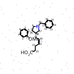 COc1ccccc1[C@@H]1CN(Cc2ccccc2)C[C@@H]1C/C=C\CCC(=O)O